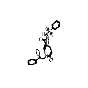 O=C(NNS(=O)(=O)c1ccccc1)C1=CN(CC(=O)c2ccccc2)C(Cl)=CC1